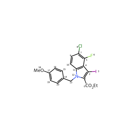 CCOC(=O)c1c(I)c2c(F)c(Cl)ccc2n1Cc1ccc(OC)cc1